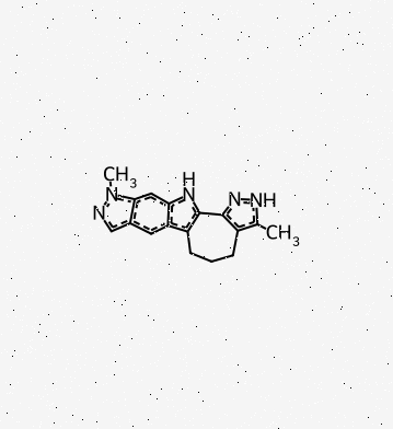 Cc1[nH]nc2c1CCCc1c-2[nH]c2cc3c(cnn3C)cc12